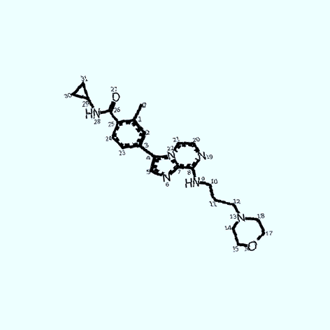 Cc1cc(-c2cnc3c(NCCCN4CCOCC4)nccn23)ccc1C(=O)NC1CC1